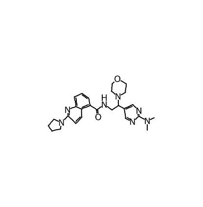 CN(C)c1ncc(C(CNC(=O)c2cccc3nc(N4CCCC4)ccc23)N2CCOCC2)cn1